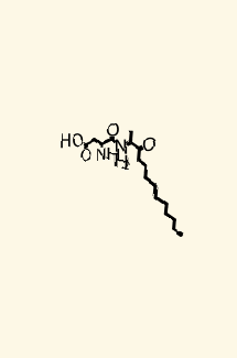 CCCCCCCCCCC(=O)C(C)NC(=O)[C@@H](N)CC(=O)O